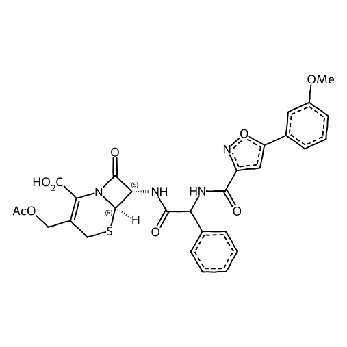 COc1cccc(-c2cc(C(=O)NC(C(=O)N[C@H]3C(=O)N4C(C(=O)O)=C(COC(C)=O)CS[C@H]34)c3ccccc3)no2)c1